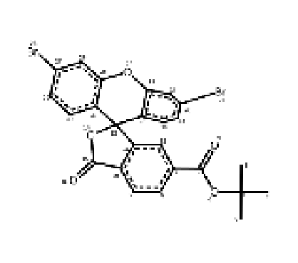 CC(C)(C)OC(=O)c1ccc2c(c1)C1(OC2=O)c2ccc(Br)cc2Oc2cc(Br)ccc21